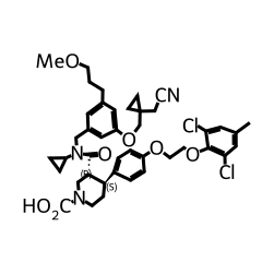 COCCCc1cc(CN(C(=O)[C@H]2CN(C(=O)O)CC[C@@H]2c2ccc(OCCOc3c(Cl)cc(C)cc3Cl)cc2)C2CC2)cc(OCC2(CC#N)CC2)c1